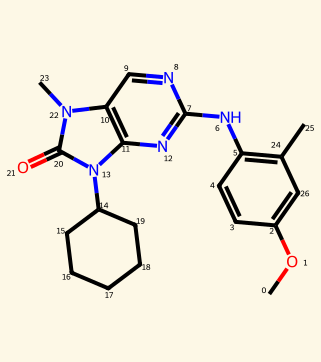 COc1ccc(Nc2ncc3c(n2)n(C2CCCCC2)c(=O)n3C)c(C)c1